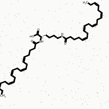 CC/C=C\C/C=C\C/C=C\C/C=C\C/C=C\CCCC(=O)NCCCC[C@H](NC(=O)CCC/C=C\C/C=C\C/C=C\C/C=C\C/C=C\CC)C(=O)O